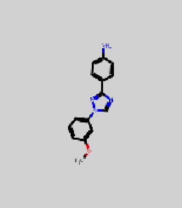 Nc1ccc(-c2ncn(-c3cccc(OC(F)(F)F)c3)n2)cc1